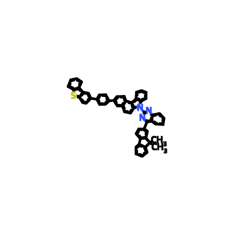 CC1(C)c2ccccc2-c2ccc(-c3nc(-n4c5ccccc5c5c6ccc(-c7ccc(-c8ccc9sc%10ccccc%10c9c8)cc7)cc6ccc54)nc4ccccc34)cc21